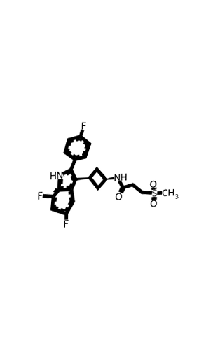 CS(=O)(=O)CCC(=O)N[C@H]1C[C@@H](c2c(-c3ccc(F)cc3)[nH]c3c(F)cc(F)cc32)C1